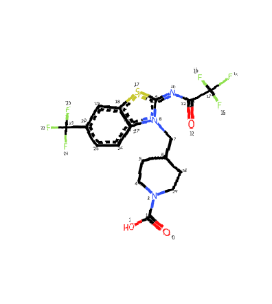 O=C(O)N1CCC(Cn2/c(=N\C(=O)C(F)(F)F)sc3cc(C(F)(F)F)ccc32)CC1